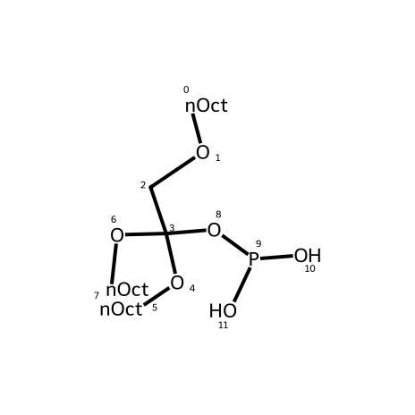 CCCCCCCCOCC(OCCCCCCCC)(OCCCCCCCC)OP(O)O